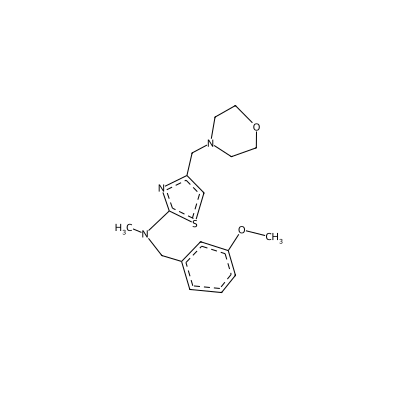 COc1cccc(CN(C)c2nc(CN3CCOCC3)cs2)c1